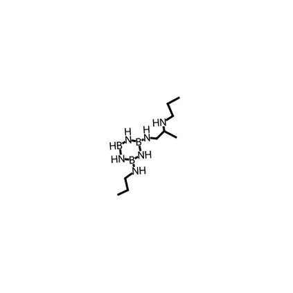 CCCNB1NBNB(NCC(C)NCCC)N1